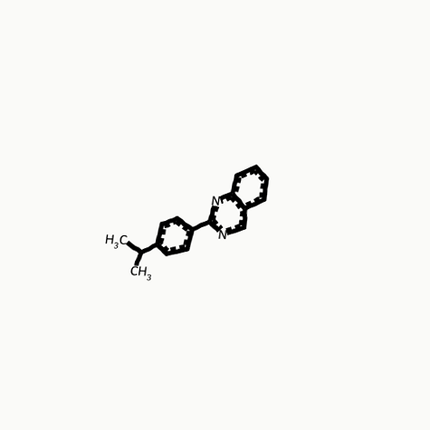 CC(C)c1ccc(-c2ncc3ccccc3n2)cc1